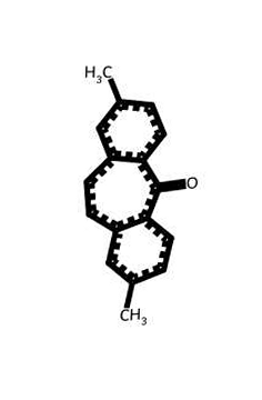 Cc1ccc2c(=O)c3ccc(C)cc3ccc2c1